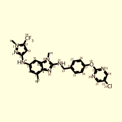 Cn1nc(Nc2cc(F)c3nc(NCc4ccc(Oc5ncc(Cl)cn5)cc4)n(C)c3c2)cc1C(F)(F)F